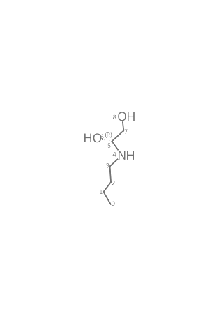 CCCCN[C@H](O)CO